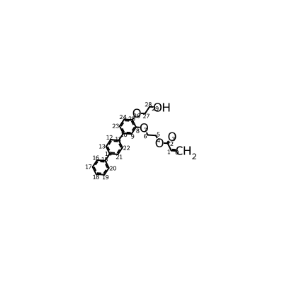 C=CC(=O)OCCOc1cc(-c2ccc(-c3ccccc3)cc2)ccc1OCCO